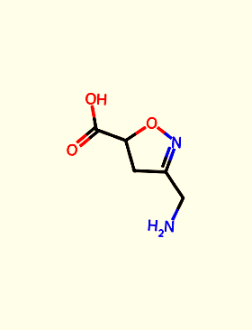 NCC1=NOC(C(=O)O)C1